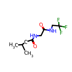 CC(C)CC(=O)NCC(=O)NCC(F)(F)F